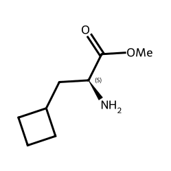 COC(=O)[C@@H](N)CC1CCC1